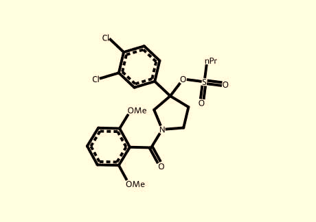 CCCS(=O)(=O)OC1(c2ccc(Cl)c(Cl)c2)CCN(C(=O)c2c(OC)cccc2OC)C1